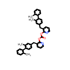 Cc1ccccc1-c1ccc(Cc2cccnc2OC(=O)Oc2ncccc2Cc2ccc(-c3ccccc3C)c(C)c2)cc1C